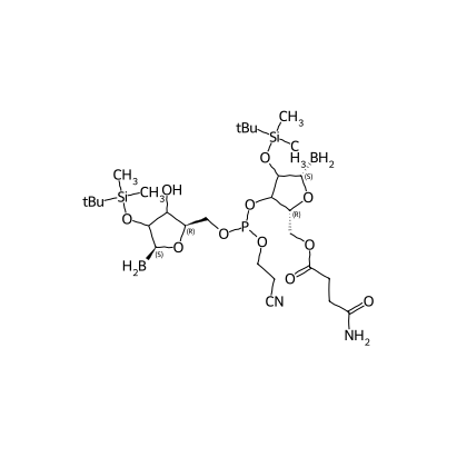 B[C@@H]1O[C@H](COP(OCCC#N)OC2C(O[Si](C)(C)C(C)(C)C)[C@H](B)O[C@@H]2COC(=O)CCC(N)=O)C(O)C1O[Si](C)(C)C(C)(C)C